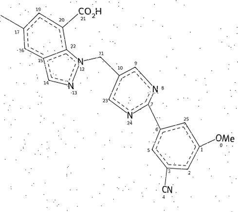 COc1cc(C#N)cc(-c2ncc(Cn3ncc4cc(Cl)cc(C(=O)O)c43)cn2)c1